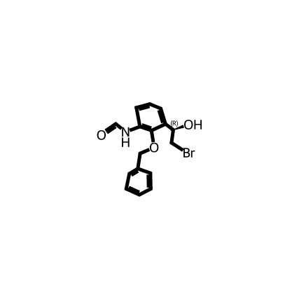 O=CNc1cccc([C@@H](O)CBr)c1OCc1ccccc1